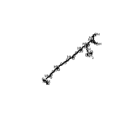 CC(=O)CN[C@@H](CCCCNC(=O)COCCOCCOCC(=O)NCCCOCCOCCOCCCNC(=O)COCCOCCOCC(=O)NCCCC[C@H](NC(=O)CCCC(=O)NC(CNC(C)(C)/C(C)=N/O)CNC(C)(C)/C(C)=N/O)C(=O)NCCCC[C@H](NCC(C)=O)C(N)=O)C(N)=O